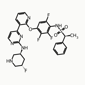 C[C@@H](c1ccccc1)S(=O)(=O)Nc1c(F)cc(Oc2ncccc2-c2ccnc(N[C@@H]3CNC[C@@H](F)C3)n2)c(F)c1F